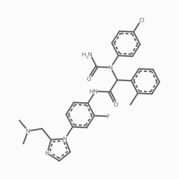 Cc1ccccc1C(C(=O)Nc1ccc(-n2ccnc2CN(C)C)cc1F)N(C(N)=O)c1ccc(Cl)cc1